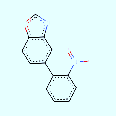 O=[N+]([O-])c1ccccc1-c1ccc2ocnc2c1